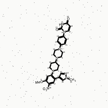 COc1cc(N2CCC(N3CCN(c4ccc(-n5ccc(=O)[nH]c5=O)cc4)CC3)CC2)c(-c2cnn(C)c2)cc1[N+](=O)[O-]